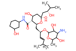 CC(C)/C=C/[C@@H](C[C@@H]1O[C@](O)(C[C@@H](O)C(C)C)C[C@H](O)[C@H]1C(=O)NC1CCCC(O)C1)OC1OC(C)C(O)C(N)C1O